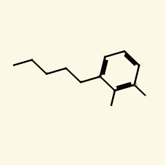 CCCCCc1cccc(Br)c1Cl